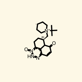 CC(C)(C)[N+]1(C[C@@H]2CCc3c4c(n[nH][n+]3=O)C=CC(=O)C42)CC[CH]CC1